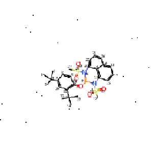 CC(C)(C)c1ccc(OP2N(S(C)(=O)=O)c3cccc4cccc(c34)N2S(C)(=O)=O)c(C(C)(C)C)c1